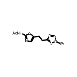 CC(=O)Nc1ncc(CCc2nnn(C(C)C)n2)s1